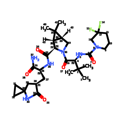 CC(C)(C)[C@H](NC(=O)N1CCCC(F)(F)C1)C(=O)N1C[C@H]2[C@@H]([C@H]1C(=O)N[C@@H](C[C@@H]1CC3(CC3)NC1=O)C(N)=O)C2(C)C